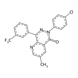 Cc1cnc2c(-c3cccc(C(F)(F)F)c3)nn(-c3ccc(Cl)cc3)c(=O)c2c1